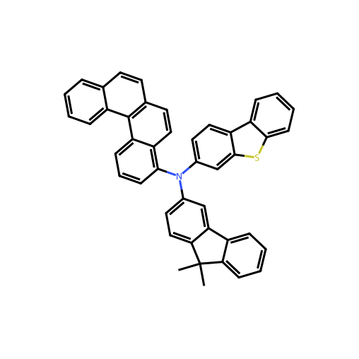 CC1(C)c2ccccc2-c2cc(N(c3ccc4c(c3)sc3ccccc34)c3cccc4c3ccc3ccc5ccccc5c34)ccc21